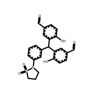 O=Cc1ccc(O)c(C(c2cccc(N3CCCS3(=O)=O)c2)c2cc(C=O)ccc2O)c1